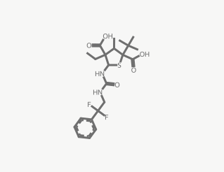 CCC1(C(=O)O)C(NC(=O)NCC(F)(F)c2ccccc2)SC(C(=O)O)(C(C)(C)C)C1C